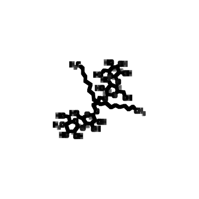 CCCCCCCCCC(CCCCCCCCC)(CO[C@H]1OC(CO)[C@H](O[C@H]2OC(CO)[C@H](C)C(O)[C@H]2O)C(O)[C@H]1O)CO[C@H]1OC(CO)[C@H](O[C@H]2OC(CO)[C@H](O)C(O)[C@H]2O)C(O)[C@H]1O